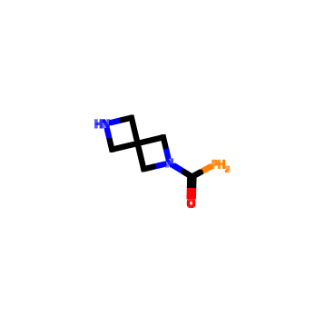 O=C(P)N1CC2(CNC2)C1